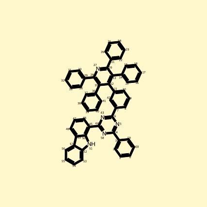 c1ccc(-c2nc(-c3cccc(-c4c(-c5ccccc5)c(-c5ccccc5)nc(-c5ccccc5)c4-c4ccccc4)c3)nc(-c3cccc4c3[nH]c3ccccc34)n2)cc1